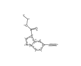 C#Cc1ccn2ncc(C(=O)OCC)c2c1